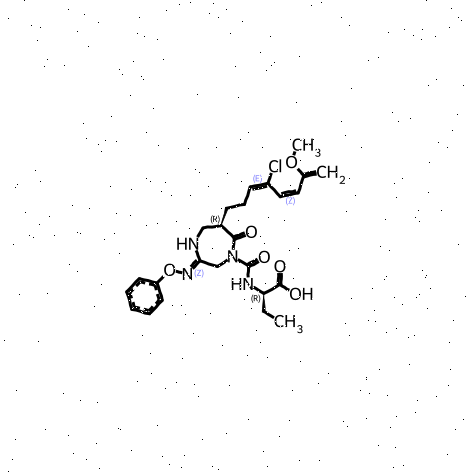 C=C(/C=C\C(Cl)=C/CC[C@@H]1CN/C(=N\Oc2ccccc2)CN(C(=O)N[C@H](CC)C(=O)O)C1=O)OC